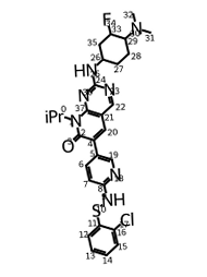 CC(C)n1c(=O)c(-c2ccc(NSc3ccccc3Cl)nc2)cc2cnc(NC3CCC(N(C)C)C(F)C3)nc21